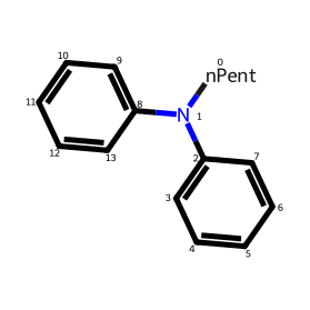 CCCCCN(c1ccccc1)c1ccccc1